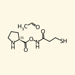 CC=O.O=C(CCS)NOC(=O)[C@@H]1CCCN1